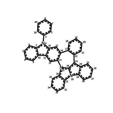 c1ccc(-n2c3ccccc3c3cc4c(cc32)-c2ccccc2-c2c3ccccc3n3c5ccccc5n-4c23)cc1